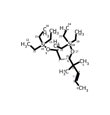 C/C=C/C(C)(C)[C@H](CCO[Si](CC)(CC)CC)O[Si](CC)(CC)CC